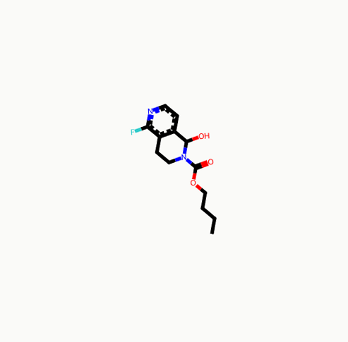 CCCCOC(=O)N1CCc2c(ccnc2F)C1O